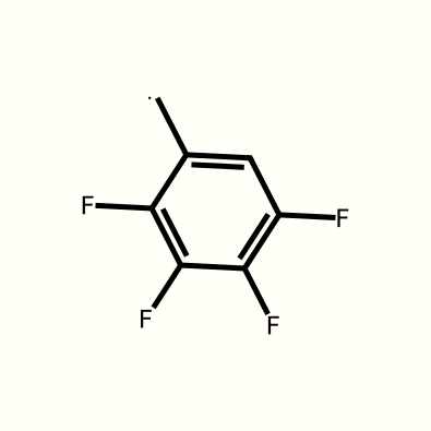 [CH2]c1cc(F)c(F)c(F)c1F